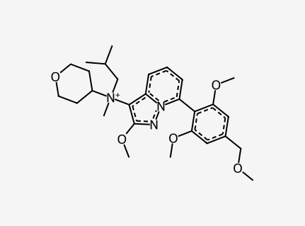 COCc1cc(OC)c(-c2cccc3c([N+](C)(CC(C)C)C4CCOCC4)c(OC)nn23)c(OC)c1